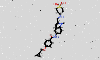 Cn1c(CNC2CCS(O)(O)CC2)cc2cc(NC(=O)c3ccc(OCC4CC4)cc3)ccc21